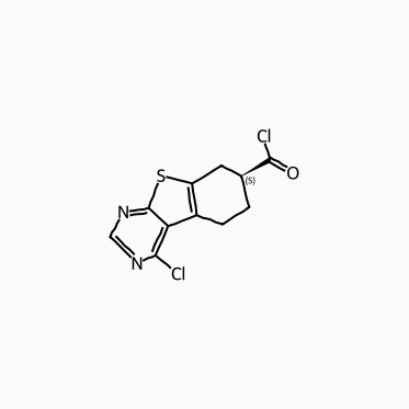 O=C(Cl)[C@H]1CCc2c(sc3ncnc(Cl)c23)C1